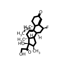 CO.C[C@@H]1C[C@H]2[C@@H]3C[C@H](F)C4=CC(=O)CC[C@]4(C)C3=CC[C@]2(C)[C@@]1(O)C(=O)CO